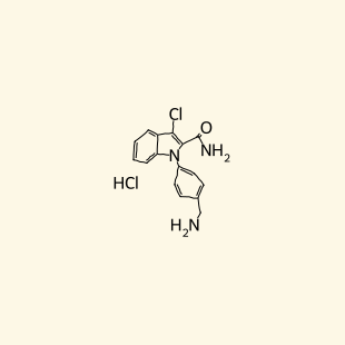 Cl.NCc1ccc(-n2c(C(N)=O)c(Cl)c3ccccc32)cc1